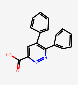 O=C(O)c1cc(-c2ccccc2)c(-c2ccccc2)nn1